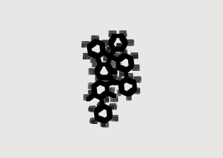 CC1=CCC(Nc2ccccc2-c2cccc(C3(c4ccccc4)c4ccccc4-c4ccccc43)c2)C(C)=C1c1ccccc1